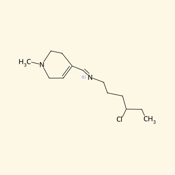 CCC(Cl)CCC/N=C/C1=CCN(C)CC1